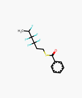 CC(F)C(F)(F)C(F)(F)CCSC(=O)c1ccccc1